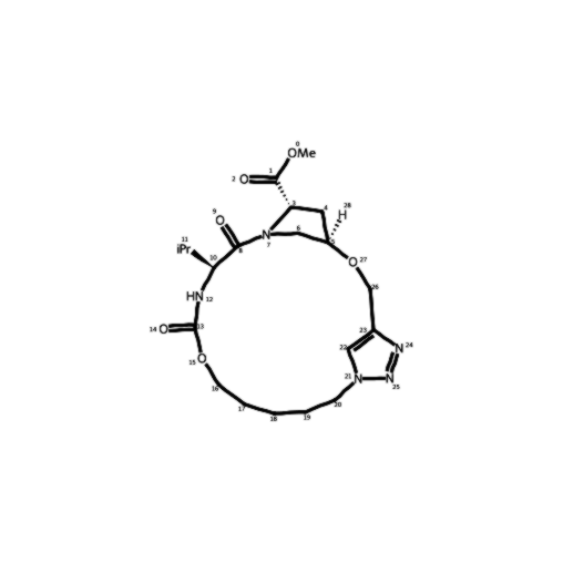 COC(=O)[C@@H]1C[C@@H]2CN1C(=O)[C@H](C(C)C)NC(=O)OCCCCCn1cc(nn1)CO2